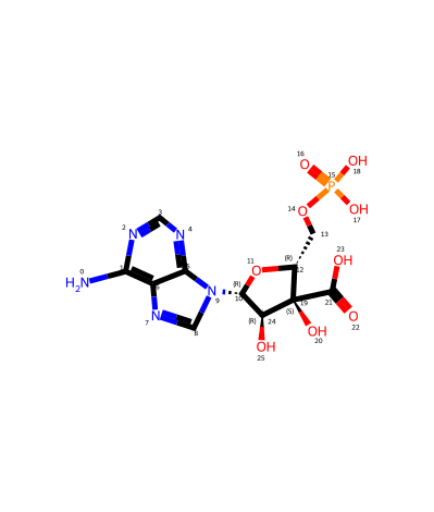 Nc1ncnc2c1ncn2[C@@H]1O[C@H](COP(=O)(O)O)[C@](O)(C(=O)O)[C@H]1O